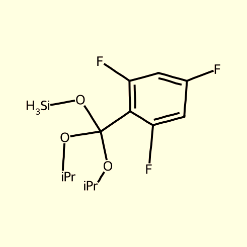 CC(C)OC(O[SiH3])(OC(C)C)c1c(F)cc(F)cc1F